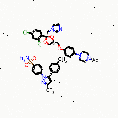 CC(=O)N1CCN(c2ccc(OC[C@H]3CO[C@](Cn4ccnc4)(c4ccc(Cl)cc4Cl)O3)cc2)CC1.Cc1ccc(-c2cc(C(F)(F)F)nn2-c2ccc(S(N)(=O)=O)cc2)cc1